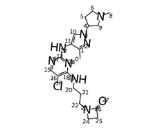 Cc1nn(C2CCN(C)C2)cc1Nc1ncc(Cl)c(NCCCN2CCC2=O)n1